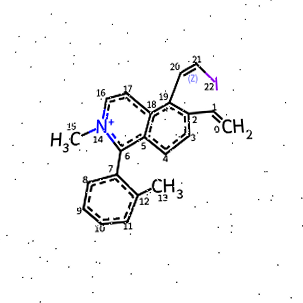 C=Cc1ccc2c(-c3ccccc3C)[n+](C)ccc2c1/C=C\I